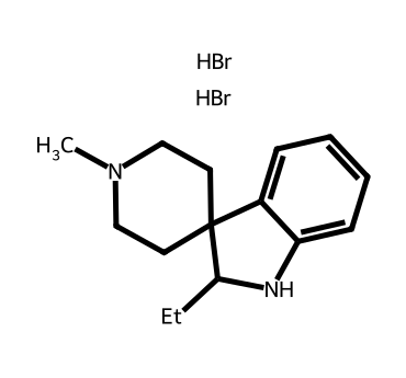 Br.Br.CCC1Nc2ccccc2C12CCN(C)CC2